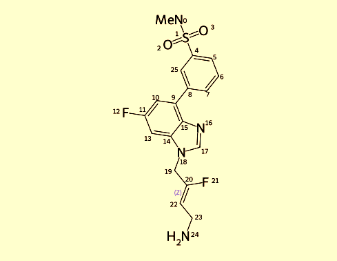 CNS(=O)(=O)c1cccc(-c2cc(F)cc3c2ncn3C/C(F)=C/CN)c1